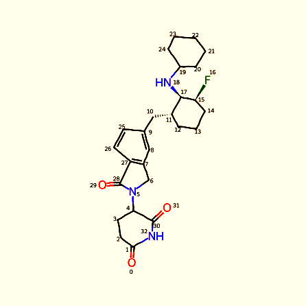 O=C1CCC(N2Cc3cc(C[C@H]4CCC[C@H](F)[C@@H]4NC4CCCCC4)ccc3C2=O)C(=O)N1